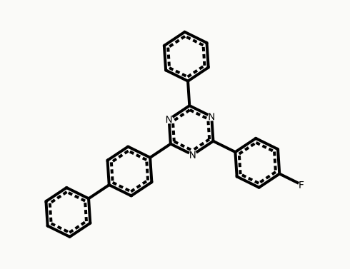 Fc1ccc(-c2nc(-c3ccccc3)nc(-c3ccc(-c4ccccc4)cc3)n2)cc1